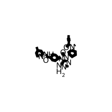 CC#CC(=O)N(C)c1cccc(-n2c(=O)n(-c3ccc(C(=O)Nc4cc(C)ccn4)cc3)c3c(N)ncnc32)c1